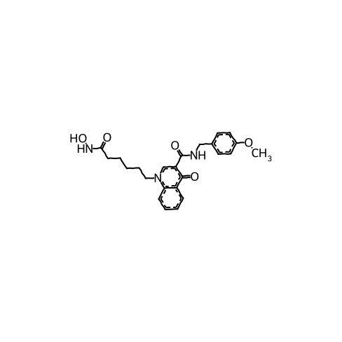 COc1ccc(CNC(=O)c2cn(CCCCCC(=O)NO)c3ccccc3c2=O)cc1